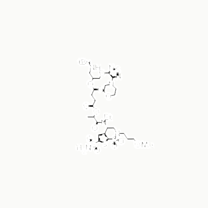 CCN(C(=O)C(C)OC(=O)CCC(=O)OC(CNC(C)(C)C)COc1nsnc1N1CCOCC1)[C@@H]1CN(CCCOC)S(=O)(=O)c2sc(S(N)(=O)=O)cc21